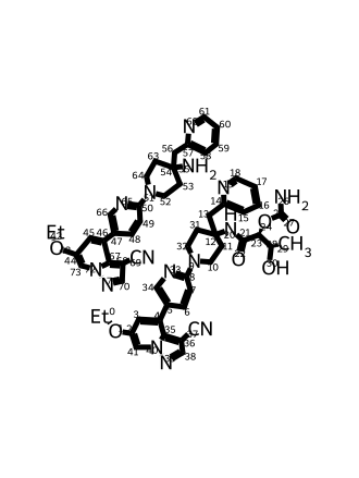 CCOc1cc(-c2ccc(N3CCC(Cc4ccccn4)(NC(=O)[C@@H](OC(N)=O)[C@@H](C)O)CC3)nc2)c2c(C#N)cnn2c1.CCOc1cc(-c2ccc(N3CCC(N)(Cc4ccccn4)CC3)nc2)c2c(C#N)cnn2c1